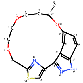 C[C@H]1CCOCCOCc2nc(cs2)-c2n[nH]c3ccc(cc23)O1